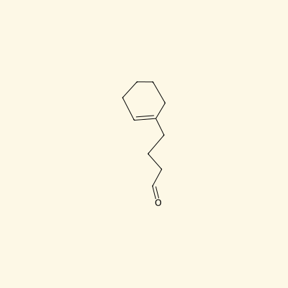 O=CCCCC1=CCCCC1